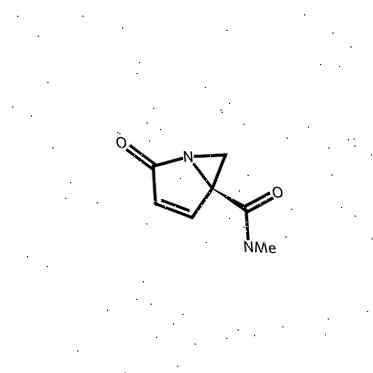 CNC(=O)[C@@]12C=CC(=O)N1C2